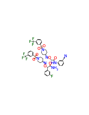 N#Cc1cccc(NC(=O)CON=C2CCN(S(=O)(=O)c3cccc(C(F)(F)F)c3)CC2)c1.NC(=O)C(ON=C1CCN(S(=O)(=O)c2cccc(C(F)(F)F)c2)CC1)c1cccc(F)c1